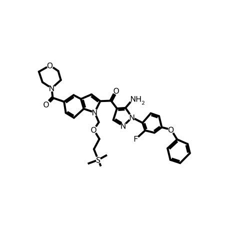 CS(C)(C)CCOCn1c(C(=O)c2cnn(-c3ccc(Oc4ccccc4)cc3F)c2N)cc2cc(C(=O)N3CCOCC3)ccc21